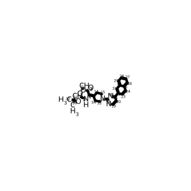 COC(=O)C(NC(=O)OC(C)(C)C)=C1CCN(c2nccc(-c3ccc4ccccc4c3)n2)CC1